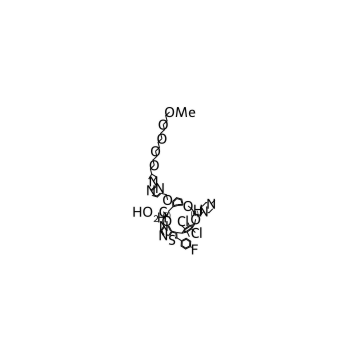 COCCOCCOCCOCCOCC1CN(c2nccc(COc3ccc4cc3C[C@H](C(=O)O)Oc3ncnc5sc(-c6ccc(F)cc6)c(c35)-c3c(C)c(Cl)c(c(Cl)c3C)O[C@H](CN3CCN(C)CC3)CO4)n2)C1